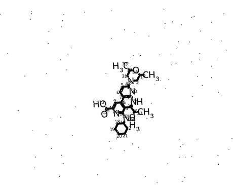 CC1CN(c2ccc(-c3cc(C(=O)O)nc(NC4CCCCC4)c3C(=N)C(C)C)cn2)CC(C)O1